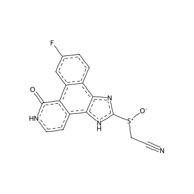 N#CC[S+]([O-])c1nc2c3ccc(F)cc3c3c(=O)[nH]ccc3c2[nH]1